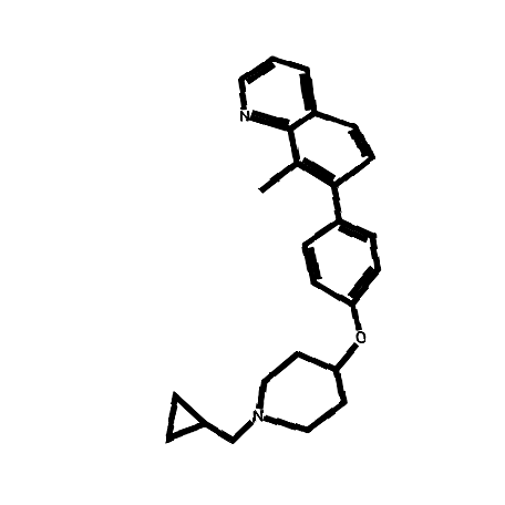 Cc1c(-c2ccc(OC3CCN(CC4CC4)CC3)cc2)ccc2cccnc12